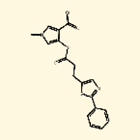 Cn1cc(NC(=O)CCc2cnc(-c3ccccc3)s2)c(C(=O)O)c1